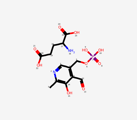 Cc1ncc(COP(=O)(O)O)c(C=O)c1O.NC(CCC(=O)O)C(=O)O